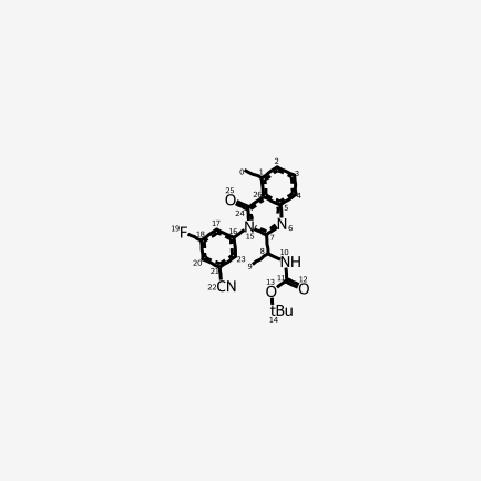 Cc1cccc2nc(C(C)NC(=O)OC(C)(C)C)n(-c3cc(F)cc(C#N)c3)c(=O)c12